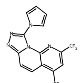 FC(F)(F)c1cc(C(F)(F)F)c2ccc3nnc(-n4cccc4)n3c2n1